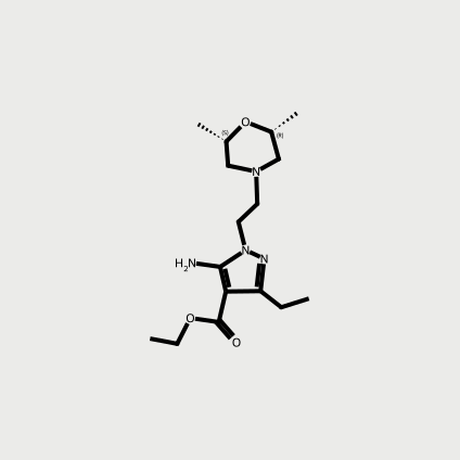 CCOC(=O)c1c(CC)nn(CCN2C[C@@H](C)O[C@@H](C)C2)c1N